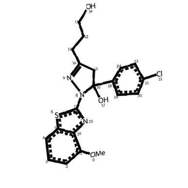 COc1cccc2sc(N3N=C(CCCO)CC3(O)c3ccc(Cl)cc3)nc12